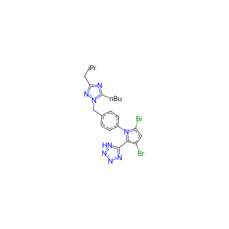 CCCCc1nc(CC(C)C)nn1Cc1ccc(-n2c(Br)cc(Br)c2-c2nnn[nH]2)cc1